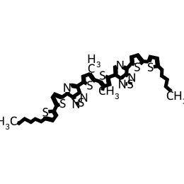 CCCCCCc1ccc(-c2ccc(-c3ncc(-c4cc(C)c(-c5sc(-c6cnc(-c7ccc(-c8ccc(CCCCCC)s8)s7)c7nsnc67)cc5C)s4)c4nsnc34)s2)s1